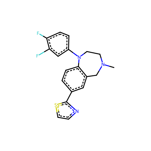 CN1CCN(c2ccc(F)c(F)c2)c2ccc(-c3nccs3)cc2C1